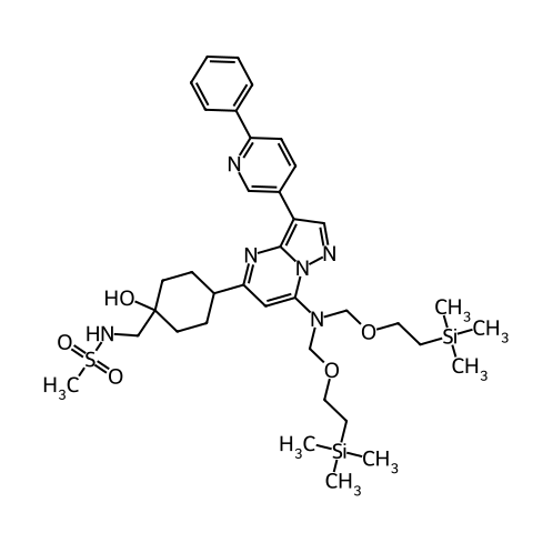 C[Si](C)(C)CCOCN(COCC[Si](C)(C)C)c1cc(C2CCC(O)(CNS(C)(=O)=O)CC2)nc2c(-c3ccc(-c4ccccc4)nc3)cnn12